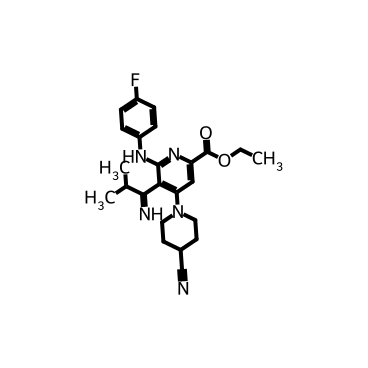 CCOC(=O)c1cc(N2CCC(C#N)CC2)c(C(=N)C(C)C)c(Nc2ccc(F)cc2)n1